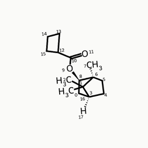 CC1(C)[C@H]2CC[C@]1(C)[C@H](OC(=O)C1CCC1)C2